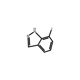 Ic1cccc2cn[nH]c12